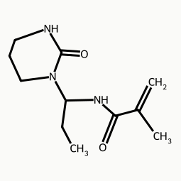 C=C(C)C(=O)NC(CC)N1CCCNC1=O